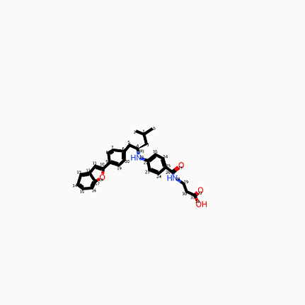 CC(C)C[C@H](Cc1ccc(-c2cc3ccccc3o2)cc1)Nc1ccc(C(=O)NCCC(=O)O)cc1